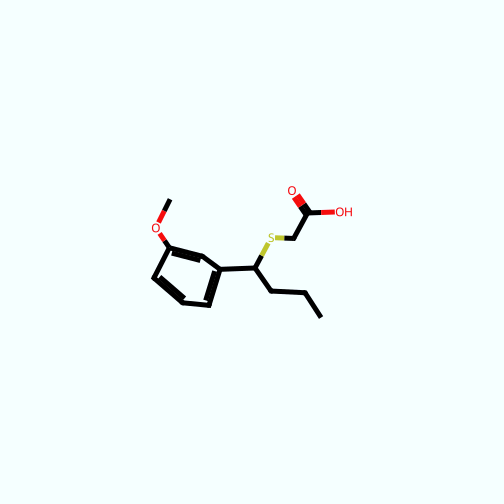 CCCC(SCC(=O)O)c1cccc(OC)c1